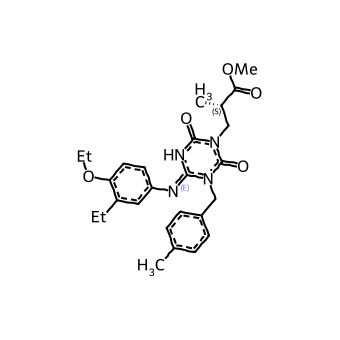 CCOc1ccc(/N=c2\[nH]c(=O)n(C[C@H](C)C(=O)OC)c(=O)n2Cc2ccc(C)cc2)cc1CC